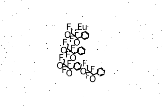 O=C(CF)C(F)(F)C(=O)c1ccccc1.O=C(CF)C(F)(F)C(=O)c1ccccc1.O=C(CF)C(F)(F)C(=O)c1ccccc1.O=C(CF)C(F)(F)C(=O)c1ccccc1.[Eu]